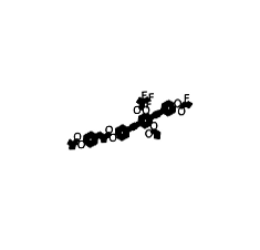 C=CC(=O)Oc1cc(C#Cc2ccc(OC(=O)/C(C)=C/c3ccc(OC(=O)C(=C)C)cc3)cc2)cc(OC(=O)C(=C)C(F)(F)F)c1C#Cc1ccc(OC(=O)C(=C)F)cc1